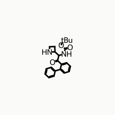 CC(C)(C)OC(=O)NC(C(=O)c1ccccc1-c1ccccc1)C1CCN1